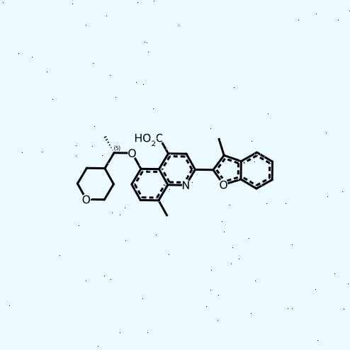 Cc1c(-c2cc(C(=O)O)c3c(O[C@@H](C)C4CCOCC4)ccc(C)c3n2)oc2ccccc12